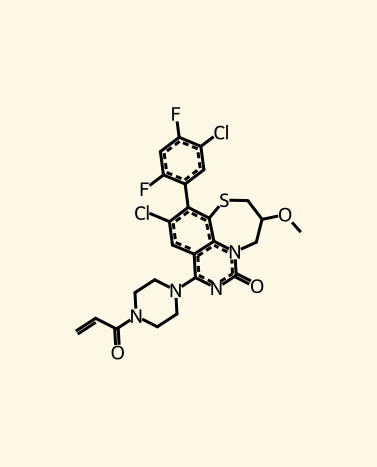 C=CC(=O)N1CCN(c2nc(=O)n3c4c(c(-c5cc(Cl)c(F)cc5F)c(Cl)cc24)SCC(OC)C3)CC1